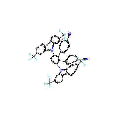 N#Cc1ccc(-c2c(-n3c4cc(C(F)(F)F)ccc4c4ccc(C(F)(F)F)cc43)ccc(-n3c4cc(C(F)(F)F)ccc4c4ccc(C(F)(F)F)cc43)c2-c2ccc(C#N)cc2)cc1